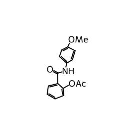 COc1ccc(NC(=O)c2ccccc2OC(C)=O)cc1